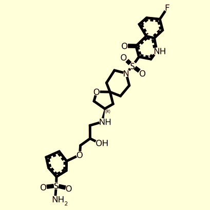 NS(=O)(=O)c1cccc(OCC(O)CN[C@H]2COC3(CCN(S(=O)(=O)c4c[nH]c5cc(F)ccc5c4=O)CC3)C2)c1